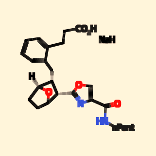 CCCCCNC(=O)c1coc([C@@H]2C3CC[C@H](O3)[C@@H]2Cc2ccccc2CCC(=O)O)n1.[NaH]